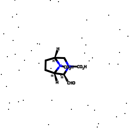 O=C[C@H]1[C@@H]2CC[C@H](CN1C(=O)O)N2C(=O)O